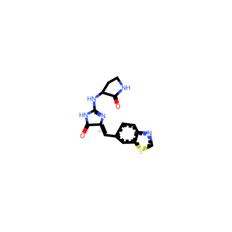 O=C1NC(NC2CCNC2=O)=N/C1=C\c1ccc2ncsc2c1